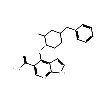 CNC(=O)c1cnc2[nH]ccc2c1N[C@@H]1CCC(Cc2ccccc2)CC1F